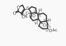 CC(=O)O[C@H]1CC[C@@]2(C)[C@H](CC[C@@H]3[C@@H]2CC[C@]2(C)[C@@H](C4=C(C#N)C(=O)OC4)CC[C@]32O)C1